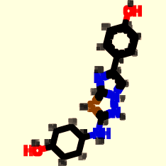 Oc1ccc(-c2cn3nc(NC4CCC(O)CC4)sc3n2)cc1